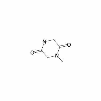 CN1CC(=O)[N]CC1=O